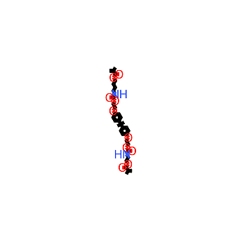 C=C(C)C(=O)OCCCCNC(=O)OCCOc1ccc(C(C)(C)c2ccc(OCCOC(=O)NCCOC(=O)C(=C)C)cc2)cc1